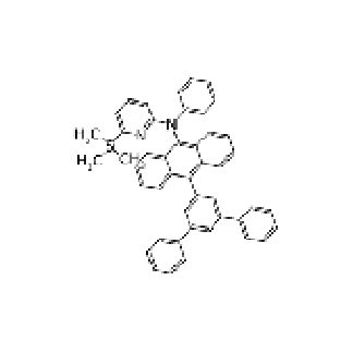 C[Si](C)(C)c1cccc(N(c2ccccc2)c2c3ccccc3c(-c3cc(-c4ccccc4)cc(-c4ccccc4)c3)c3ccccc23)n1